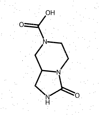 O=C(O)N1CCN2C(=O)NCC2C1